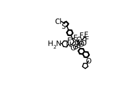 NC1CCN(C(=O)[C@H](N(OC(=O)C(F)(F)F)S(=O)(=O)c2ccc3cc(OC4CCCC4)ccc3c2)C(F)(F)c2ccc(-c3ccc(Cl)s3)cc2)CC1